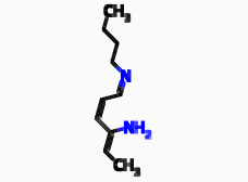 C/C=C(N)/C=C\C=N/CCCC